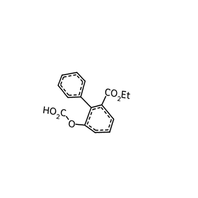 CCOC(=O)c1cccc(OC(=O)O)c1-c1ccccc1